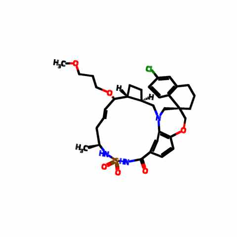 COCCCO[C@H]1/C=C/C[C@H](C)NS(=O)(=O)NC(=O)c2ccc3c(c2)N(C[C@@H]2CC[C@H]21)C[C@@]1(CCCc2cc(Cl)ccc21)CO3